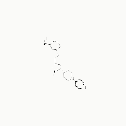 O=C(O)C1CCCC(CCC2CN(C3CCN(c4ccncc4)CC3)C(=O)O2)C1